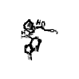 C=CC(=O)N1C[C@H](Nc2ncnc3[nH]ccc23)[C@H]2CC[C@@H]1C2